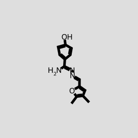 Cc1cc(C=NN=C(N)c2ccc(O)cc2)oc1C